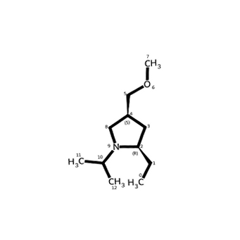 CC[C@@H]1C[C@H](COC)CN1C(C)C